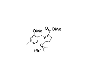 COC(=O)C1=C(Cc2ccc(F)cc2OC)C(O[Si](C)(C)C(C)(C)C)CC1